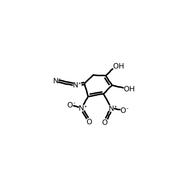 [N-]=[N+]=C1CC(O)=C(O)C([N+](=O)[O-])=C1[N+](=O)[O-]